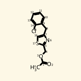 CC(=O)OCc1nc(Cc2ccccc2Cl)cs1